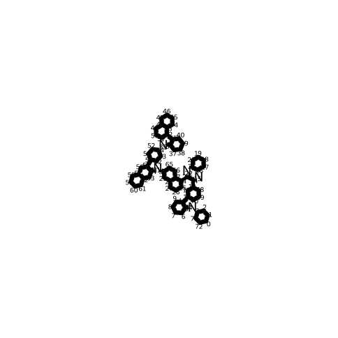 c1ccc(-n2c3ccccc3c3cc(-c4nc5ccccc5nc4-c4cccc5cc(-n6c7cc(-n8c9ccccc9c9c%10ccccc%10ccc98)ccc7c7cc8ccccc8cc76)ccc45)ccc32)cc1